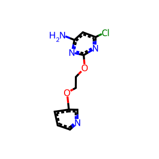 Nc1cc(Cl)nc(OCCOc2cccnc2)n1